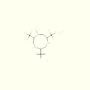 FC(F)(F)C1CNC(C(F)(F)F)C[N]([Ti+3])C(C(F)(F)F)CN1.[Cl-].[Cl-].[Cl-]